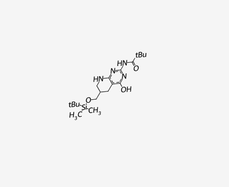 CC(C)(C)C(=O)Nc1nc(O)c2c(n1)NCC(CO[Si](C)(C)C(C)(C)C)C2